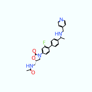 CC(=O)NC[C@H]1CN(c2ccc(-c3ccc(C(C)NCc4ccncc4)cc3)c(F)c2)C(=O)O1